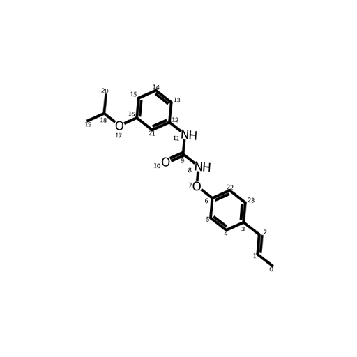 C/C=C/c1ccc(ONC(=O)Nc2cccc(OC(C)C)c2)cc1